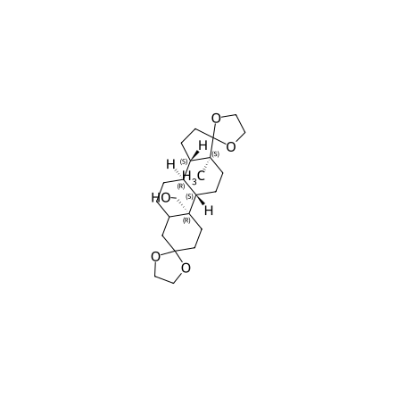 C[C@]12CC[C@H]3[C@@H](CCC4CC5(CC[C@@]43CO)OCCO5)[C@@H]1CCC21OCCO1